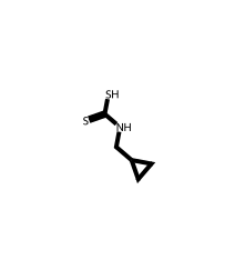 S=C(S)NCC1CC1